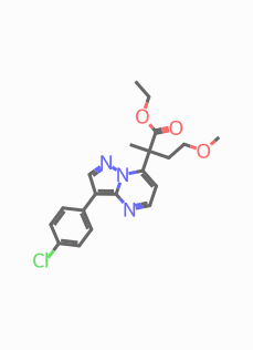 CCOC(=O)C(C)(CCOC)c1ccnc2c(-c3ccc(Cl)cc3)cnn12